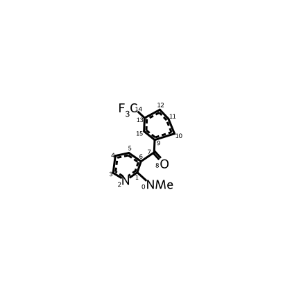 CNc1ncccc1C(=O)c1cccc(C(F)(F)F)c1